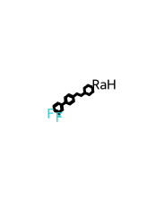 Fc1ccc(-c2ccc(CCC3CC[CH]([RaH])CC3)cc2)cc1F